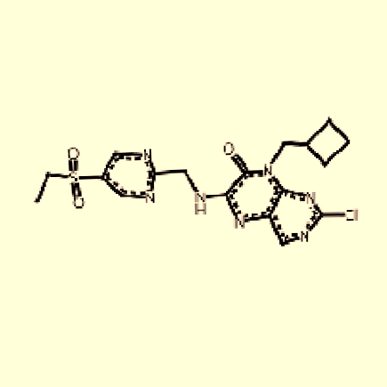 CCS(=O)(=O)c1cnc(CNc2nc3cnc(Cl)nc3n(CC3CCC3)c2=O)nc1